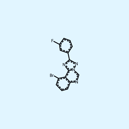 Fc1cccc(-c2nc3c4c(Br)cccc4ncn3n2)c1